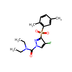 CCN(CC)C(=O)n1cc(F)c(S(=O)(=O)c2cc(C)ccc2C)n1